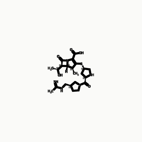 CC(=N)NC[C@@H]1CCN(C(=O)[C@@H]2C[C@H](SC3=C(C(=O)O)N4C(=O)[C@H]([C@@H](C)O)[C@H]4[C@H]3C)CN2)C1